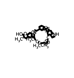 C[C@@H](Cc1cccc([C@@]2(C)CCCC(C)(C)CS(=O)(=O)CCc3c(c(F)cc4[nH]ccc34)S(=O)(=O)c3cccc(c3)-c3coc2n3)c1)C(=O)O